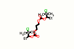 CCC(OC(=O)OCCCOC(=O)OC(CC)[Si](C)(C)Cl)[Si](C)(C)Cl